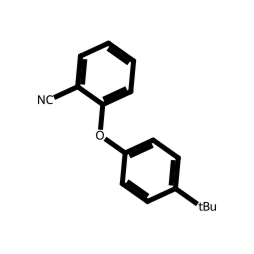 CC(C)(C)c1ccc(Oc2ccccc2C#N)cc1